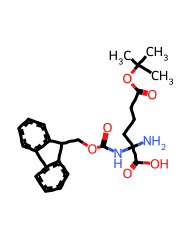 CC(C)(C)OC(=O)CCCC(N)(NC(=O)OCC1c2ccccc2-c2ccccc21)C(=O)O